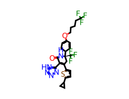 O=C1N[C@@](C2C=CC(OCCCCC(F)(F)F)=CC2)(C(F)(F)F)CC(c2ccc(C3CC3)s2)=C1c1nnn[nH]1